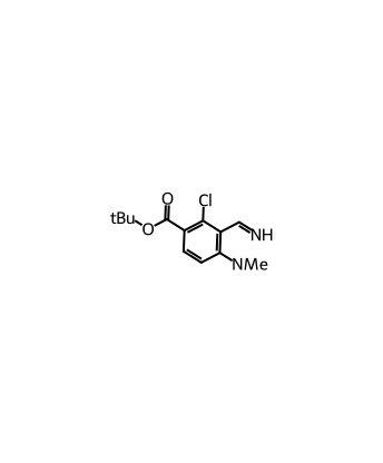 CNc1ccc(C(=O)OC(C)(C)C)c(Cl)c1C=N